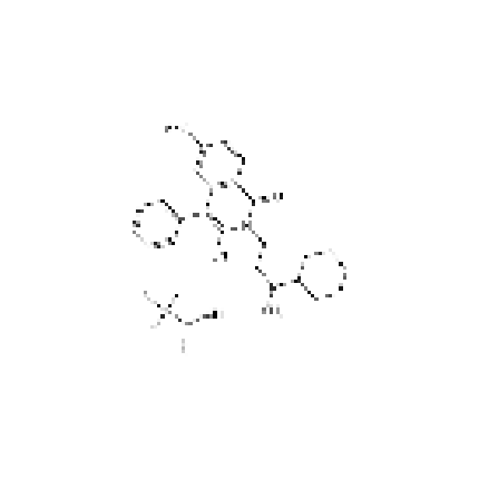 COc1ccc2c(=O)n(CCN(C)C3CCCCC3)c(C#N)c(-c3ccccc3)c2c1.O=C(O)C(F)(F)F